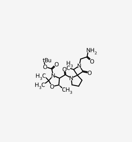 CC1N(CC(N)=O)C(=O)C12CCCN2C(=O)C1[C@@H](C)OC(C)(C)N1C(=O)OC(C)(C)C